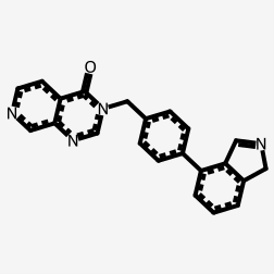 O=c1c2ccncc2ncn1Cc1ccc(-c2cccc3c2C=NC3)cc1